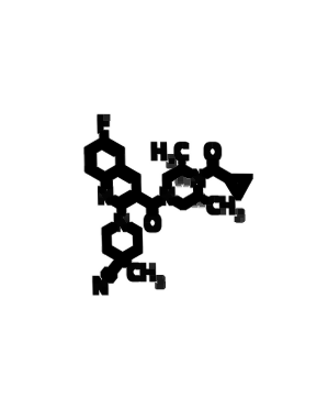 C[C@@H]1CN(C(=O)c2cc3cc(F)ccc3nc2N2CCC(C)(C#N)CC2)C[C@H](C)N1C(=O)C1CC1